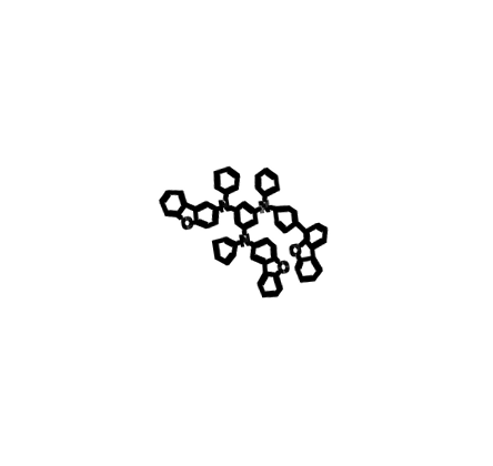 c1ccc(N(c2ccc(-c3cccc4c3oc3ccccc34)cc2)c2cc(N(c3ccccc3)c3ccc4oc5ccccc5c4c3)cc(N(c3ccccc3)c3ccc4oc5ccccc5c4c3)c2)cc1